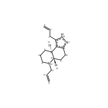 C=CCc1[nH]nc2c1[C@@H]1CCCN(CC=C)[C@H]1CC2